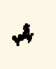 C#Cc1cc(C=O)cc(C(=O)OC(CCc2cc(F)cc(F)c2)CNCc2cccc(C(F)(F)F)c2)c1